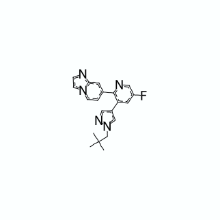 CC(C)(C)Cn1cc(-c2cc(F)cnc2-c2ccn3ccnc3c2)cn1